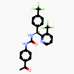 CC(=O)c1ccc(NC(=O)N[C@@H](c2ccc(C(F)(F)F)cc2)c2ncccc2C(F)(F)F)cc1